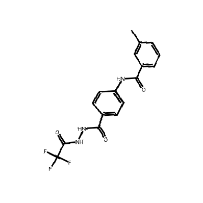 Cc1cccc(C(=O)Nc2ccc(C(=O)NNC(=O)C(F)(F)F)cc2)c1